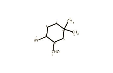 CC(C)C1CCC(C)(C)CC1C=O